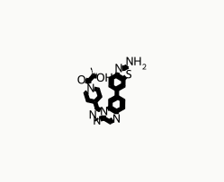 C[C@H](O)C(=O)N1CCC(c2nnc3cnc4ccc(-c5ccc6nc(N)sc6c5)cc4n23)CC1